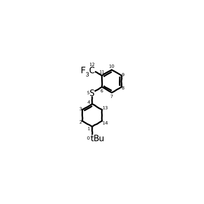 CC(C)(C)C1CC=C(Sc2ccccc2C(F)(F)F)CC1